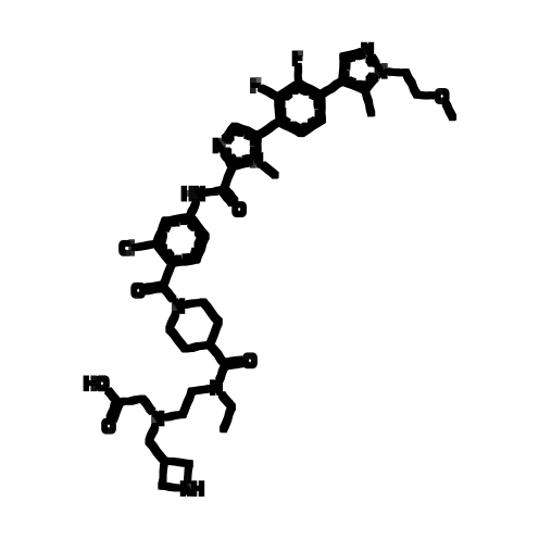 CCN(CCN(CC(=O)O)CC1CNC1)C(=O)C1CCN(C(=O)c2ccc(NC(=O)c3ncc(-c4ccc(-c5cnn(CCOC)c5C)c(F)c4F)n3C)cc2Cl)CC1